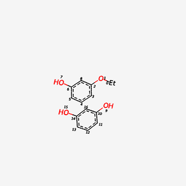 CCOc1cccc(O)c1.Oc1cccc(O)c1